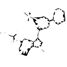 CC(=O)Nc1cc2c(-c3cc(-c4ccccn4)cc(S(C)(=O)=O)n3)cn(C)c2cn1